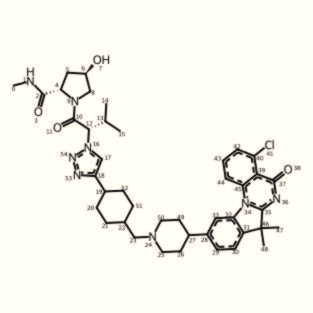 CNC(=O)[C@@H]1C[C@@H](O)CN1C(=O)[C@H](C(C)C)n1cc(C2CCC(CN3CCC(c4ccc5c(c4)-n4c(nc(=O)c6c(Cl)cccc64)C5(C)C)CC3)CC2)nn1